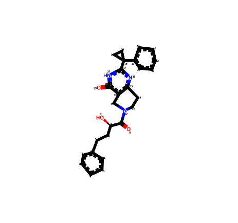 O=C([C@H](O)CCc1ccccc1)N1CCc2nc(C3(c4ccccc4)CC3)[nH]c(=O)c2C1